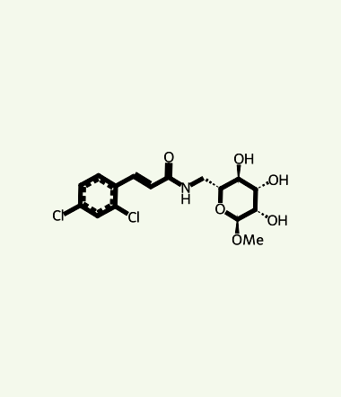 CO[C@H]1O[C@H](CNC(=O)C=Cc2ccc(Cl)cc2Cl)[C@@H](O)[C@H](O)[C@@H]1O